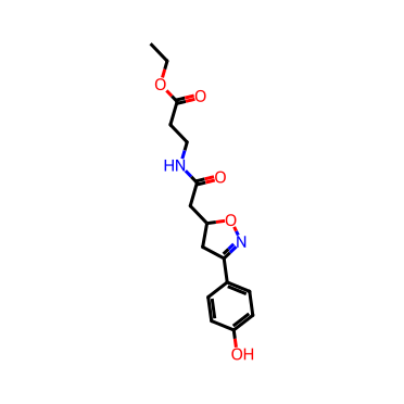 CCOC(=O)CCNC(=O)CC1CC(c2ccc(O)cc2)=NO1